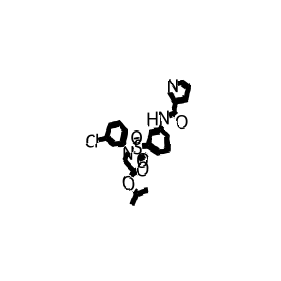 CC(C)OC(=O)CN(c1cccc(Cl)c1)S(=O)(=O)c1cccc(NC(=O)c2cccnc2)c1